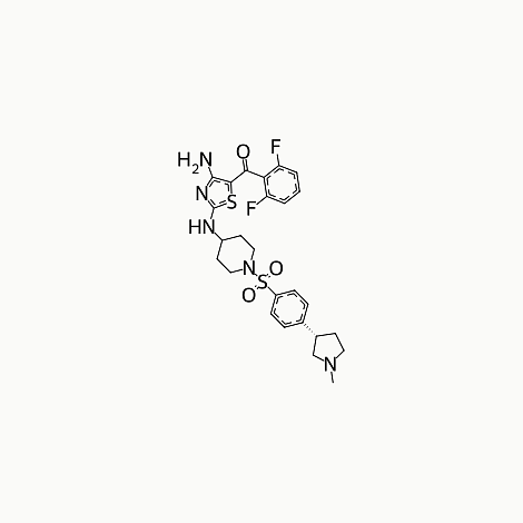 CN1CC[C@@H](c2ccc(S(=O)(=O)N3CCC(Nc4nc(N)c(C(=O)c5c(F)cccc5F)s4)CC3)cc2)C1